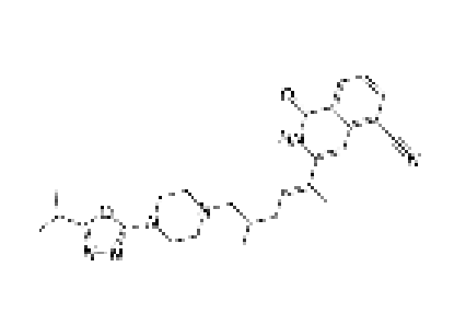 C/C(=C\CC(C)CN1CCN(c2nnc(C(C)C)o2)CC1)c1cc2c(C#N)cccc2c(=O)[nH]1